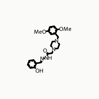 COc1ccc(OC)c(CN2CCN(CC(=O)N/N=C/c3ccccc3O)CC2)c1